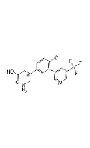 NC[C@H](CC(=O)O)c1ccc(Cl)c(-c2cncc(C(F)(F)F)c2)c1